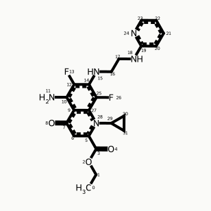 CCOC(=O)c1cc(=O)c2c(N)c(F)c(NCCNc3ccccn3)c(F)c2n1C1CC1